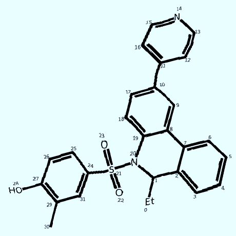 CCC1c2ccccc2-c2cc(-c3ccncc3)ccc2N1S(=O)(=O)c1ccc(O)c(C)c1